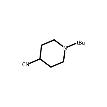 [C-]#[N+]C1CCN(C(C)(C)C)CC1